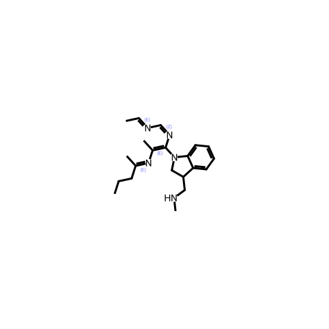 C/C=N/C=N\C(=C(C)\N=C(/C)CCC)N1CC(CNC)c2ccccc21